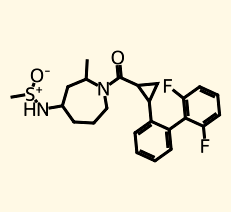 CC1CC(N[S+](C)[O-])CCCN1C(=O)C1CC1c1ccccc1-c1c(F)cccc1F